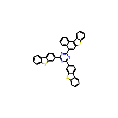 c1ccc2c(c1)sc1cc(-c3nc(-c4ccc5c(c4)sc4ccccc45)nc(-c4cc5sc6ccccc6c5c5ccccc45)n3)ccc12